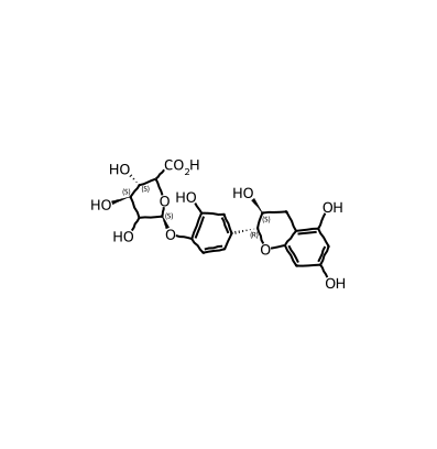 O=C(O)C1O[C@@H](Oc2ccc([C@H]3Oc4cc(O)cc(O)c4C[C@@H]3O)cc2O)C(O)[C@@H](O)[C@@H]1O